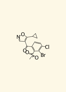 CS(=O)(=O)c1c(C(=O)c2cnoc2C2CC2)ccc(Cl)c1Br